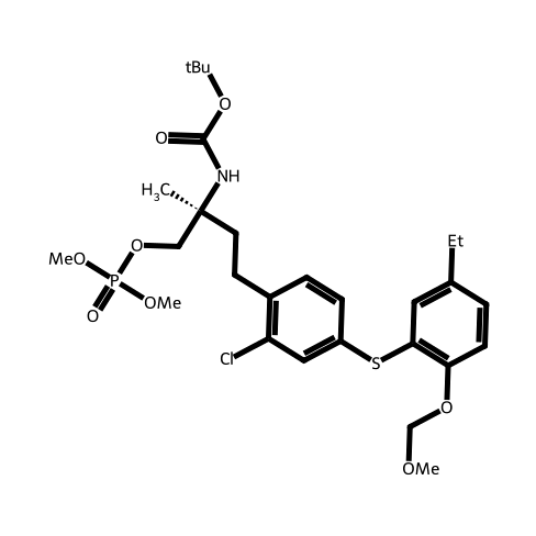 CCc1ccc(OCOC)c(Sc2ccc(CC[C@@](C)(COP(=O)(OC)OC)NC(=O)OC(C)(C)C)c(Cl)c2)c1